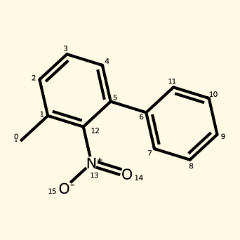 [CH2]c1cccc(-c2ccccc2)c1[N+](=O)[O-]